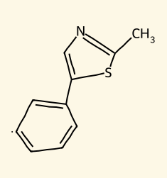 Cc1ncc(-c2c[c]ccc2)s1